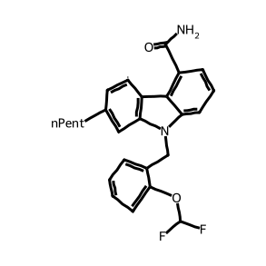 CCCCCc1c[c]c2c3c(C(N)=O)cccc3n(Cc3ccccc3OC(F)F)c2c1